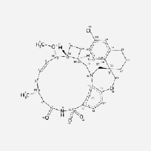 CO[C@H]1C=CC[C@@H](C)CC(=O)NS(=O)(=O)c2ccc3c(c2)N(C[C@@H]2CC[C@H]21)C[C@@]1(CCCc2cc(Cl)ccc21)CO3